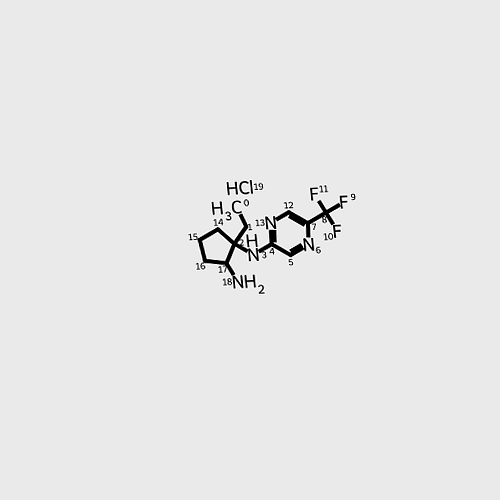 CCC1(Nc2cnc(C(F)(F)F)cn2)CCCC1N.Cl